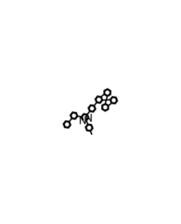 Cc1ccc(-c2nc(-c3ccc(-c4ccc5c(c4)C4(c6ccccc6-c6ccccc64)c4ccccc4-5)cc3)cc(-c3cccc(-c4ccccc4)c3)n2)cc1